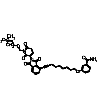 C[Si](C)(C)CCOCN1C(=O)CCC(N2C(=O)c3cccc(C#CCCCCCCCOc4cccc(C(N)=O)c4)c3C2=O)C1=O